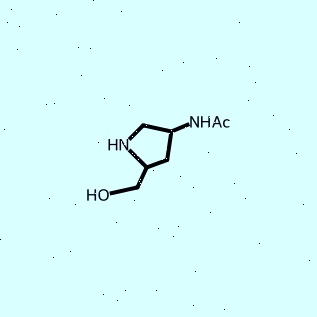 CC(=O)NC1CNC(CO)C1